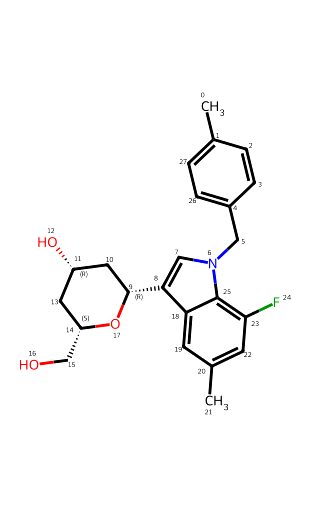 Cc1ccc(Cn2cc([C@H]3C[C@@H](O)C[C@@H](CO)O3)c3cc(C)cc(F)c32)cc1